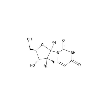 [2H]C1([2H])[C@H](O)[C@@H](CO)O[C@@]1([2H])n1ccc(=O)[nH]c1=O